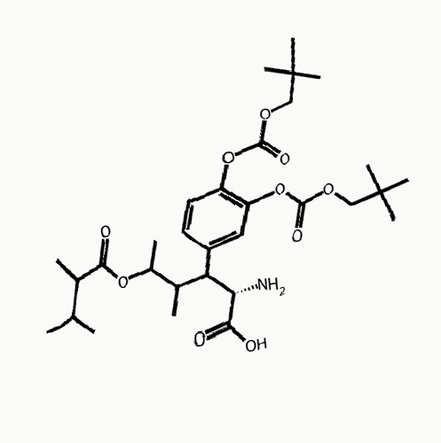 CC(C)C(C)C(=O)OC(C)C(C)C(c1ccc(OC(=O)OCC(C)(C)C)c(OC(=O)OCC(C)(C)C)c1)[C@H](N)C(=O)O